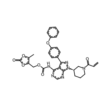 C=CC(=O)N1CCC[C@@H](n2nc(-c3ccc(Oc4ccccc4)cc3)c3c(NC(=O)OCc4oc(=O)oc4C)ncnc32)C1